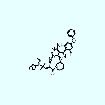 CCN(C1COC1)C(C)(C)C=C(C#N)C(=O)N1CCCC(n2nc(-c3ccc(Oc4ccccc4)cc3F)c3c(N)ncnc32)C1